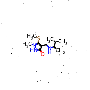 C=C(NCc1c(SC)n(C)[nH]c1=O)C(C)C